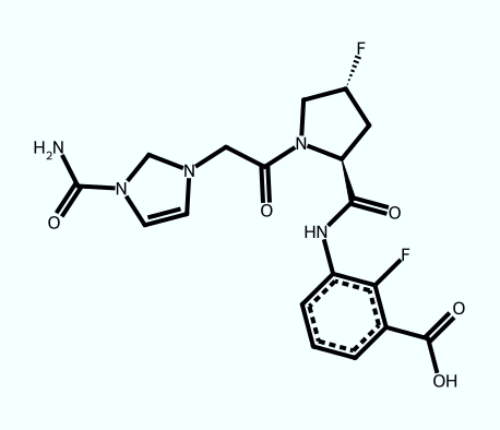 NC(=O)N1C=CN(CC(=O)N2C[C@H](F)C[C@H]2C(=O)Nc2cccc(C(=O)O)c2F)C1